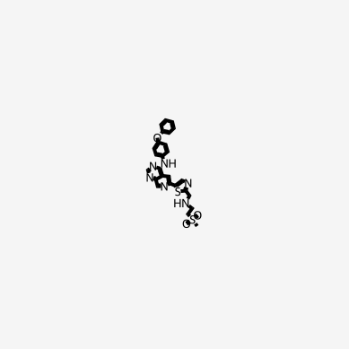 CS(=O)(=O)CCNCc1ncc(-c2cc3c(Nc4ccc(Oc5ccccc5)cc4)ncnc3cn2)s1